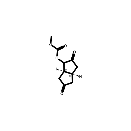 COC(=O)OC1C(=O)C[C@H]2CC(=O)C[C@@H]12